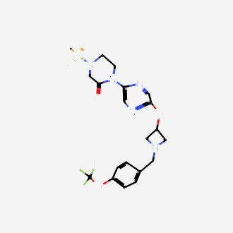 CS(=O)(=O)N1CCN(c2cnc(OC3CN(Cc4ccc(OC(F)(F)F)cc4)C3)cn2)C(=O)C1